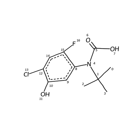 CC(C)(C)N(C(=O)O)c1cc(O)c(Cl)cc1F